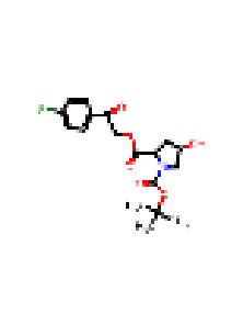 CC(C)(C)OC(=O)N1CC(O)CC1C(=O)OCC(=O)c1ccc(Br)cc1